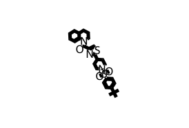 CC(C)(C)c1ccc(S(=O)(=O)N2CCC(c3nc(C(=O)N4CCCC5CCCC=C54)cs3)CC2)cc1